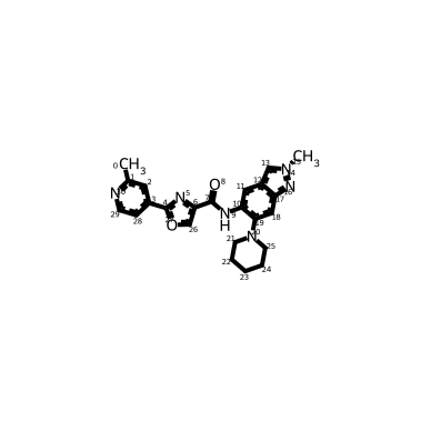 Cc1cc(-c2nc(C(=O)Nc3cc4cn(C)nc4cc3N3CCCCC3)co2)ccn1